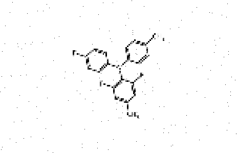 Cc1ccc(N(c2ccc(F)cc2)c2c(F)cc(C)cc2F)cc1